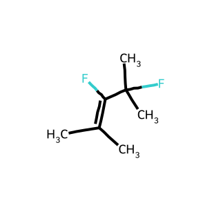 CC(C)=C(F)C(C)(C)F